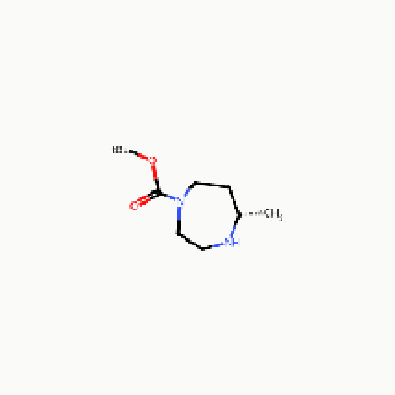 C[C@H]1CCN(C(=O)OC(C)(C)C)CCN1